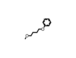 COCCCCOc1c[c]ccc1